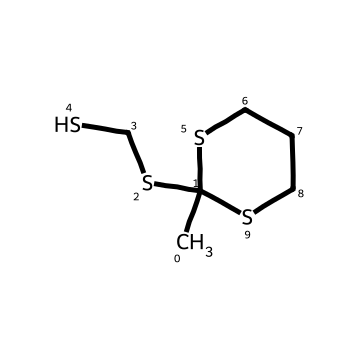 CC1(SCS)SCCCS1